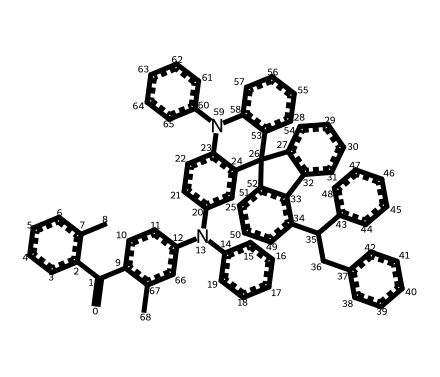 C=C(c1ccccc1C)c1ccc(N(c2ccccc2)c2ccc3c(c2)C2(c4ccccc4-c4c(C(Cc5ccccc5)c5ccccc5)cccc42)c2ccccc2N3c2ccccc2)cc1C